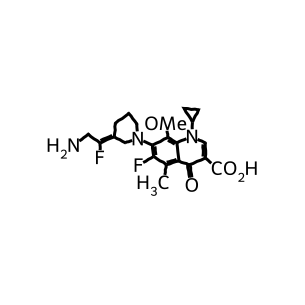 COc1c(N2CCCC(=C(F)CN)C2)c(F)c(C)c2c(=O)c(C(=O)O)cn(C3CC3)c12